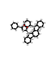 c1ccc(-c2ncc(-n3c4ccccc4c4ccc5c6ccccc6n(-c6ccncc6)c5c43)s2)cc1